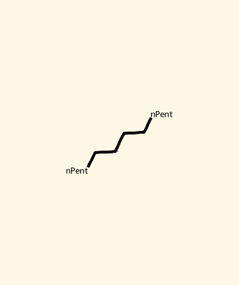 [CH2]CCCCC[CH]CCCCCC[CH2]